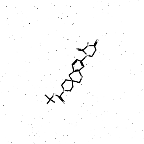 CC(C)(C)OC(=O)N1CCC2(CC1)COc1cc(N3CCC(=O)NC3=O)ccc1C2